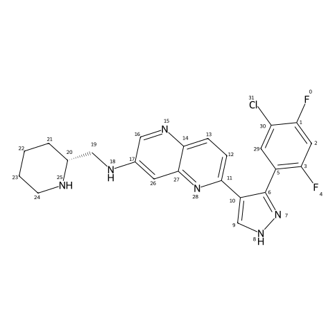 Fc1cc(F)c(-c2n[nH]cc2-c2ccc3ncc(NC[C@H]4CCCCN4)cc3n2)cc1Cl